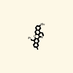 Cc1ccc2c(CC(C)C)c3c(cc2c1)-c1nccc2c1c(cc1ccc(C(C)(C)C)cc12)O3